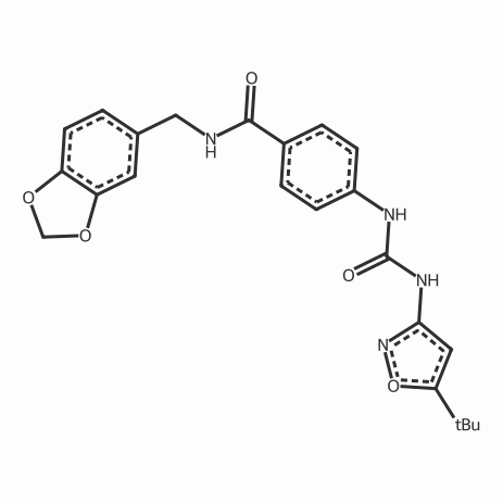 CC(C)(C)c1cc(NC(=O)Nc2ccc(C(=O)NCc3ccc4c(c3)OCO4)cc2)no1